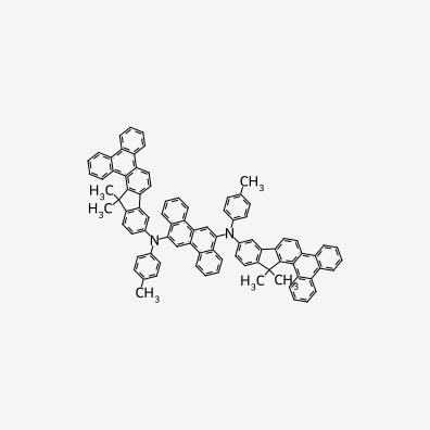 Cc1ccc(N(c2ccc3c(c2)-c2ccc4c5ccccc5c5ccccc5c4c2C3(C)C)c2cc3c4ccccc4c(N(c4ccc(C)cc4)c4ccc5c(c4)-c4ccc6c7ccccc7c7ccccc7c6c4C5(C)C)cc3c3ccccc23)cc1